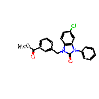 COC(=O)c1cccc(Cn2c(=O)n(-c3ccccc3)c3cc(Cl)ccc32)c1